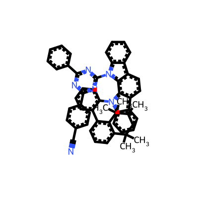 CC1CC(C)(C)c2cccc(-c3ccccc3-n3c4ccccc4c4ccc5c6ccccc6n(-c6nc(-c7ccccc7)nc(-c7ccc(C#N)cc7)n6)c5c43)c2C1(C)C